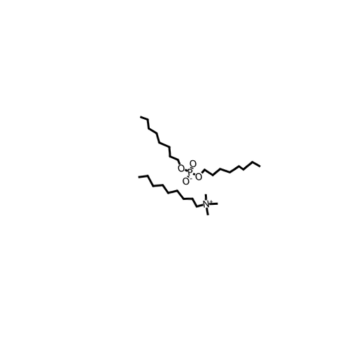 CCCCCCCCC[N+](C)(C)C.CCCCCCCCOP(=O)([O-])OCCCCCCCC